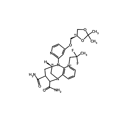 CC(F)(F)C[n+]1cccc2c1N(c1cc(OC[C@H]3COC(C)(C)O3)ccn1)[C@H]1CC(C(N)=O)C(C(N)=O)N2C1